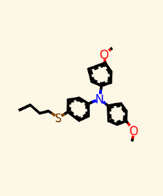 CCCCSc1ccc(N(c2ccc(OC)cc2)c2ccc(OC)cc2)cc1